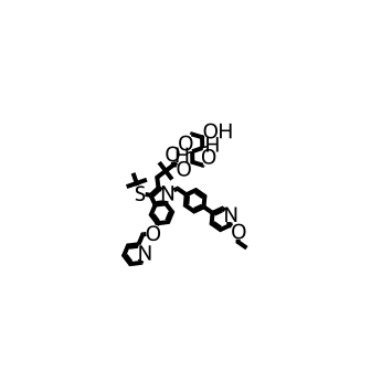 CCOc1ccc(-c2ccc(Cn3c(CC(C)(C)C(=O)O[C@H]4CO[C@H]5[C@@H]4OC[C@H]5O)c(SC(C)(C)C)c4cc(OCc5ccccn5)ccc43)cc2)cn1